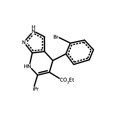 CCOC(=O)C1=C(C(C)C)Nc2n[nH]cc2C1c1ccccc1Br